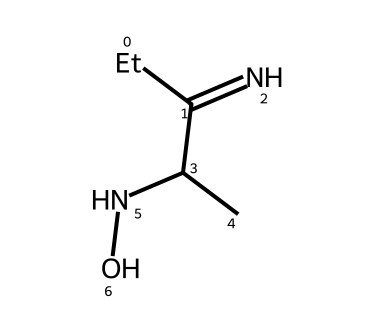 CCC(=N)C(C)NO